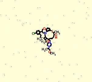 C=C(COC)N1CCN(CC2(OC)/C=C/CC(O)C(C)Sc3ccc4c(c3)N(CC(c3ccc(Cl)cc3CCC)CO4)CC3CCC32)CC1